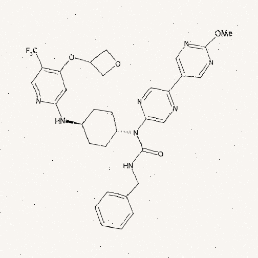 COc1ncc(-c2cnc(N(C(=O)NCc3ccccc3)[C@H]3CC[C@H](Nc4cc(OC5COC5)c(C(F)(F)F)cn4)CC3)cn2)cn1